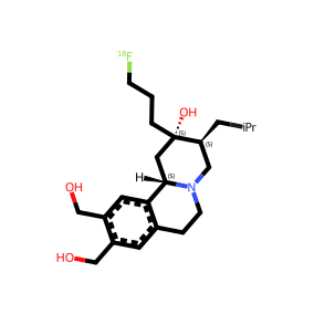 CC(C)C[C@H]1CN2CCc3cc(CO)c(CO)cc3[C@@H]2C[C@@]1(O)CCC[18F]